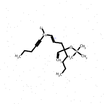 [Li][Cu]([C]#CCCC)/[CH]=C/CC(C=C)(CCCC)O[Si](C)(C)C